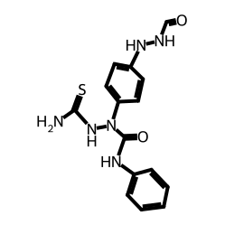 NC(=S)NN(C(=O)Nc1ccccc1)c1ccc(NNC=O)cc1